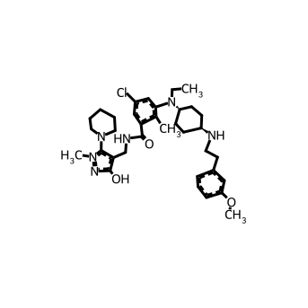 CCN(c1cc(Cl)cc(C(=O)NCc2c(O)nn(C)c2N2CCCCC2)c1C)[C@H]1CC[C@H](NCCc2cccc(OC)c2)CC1